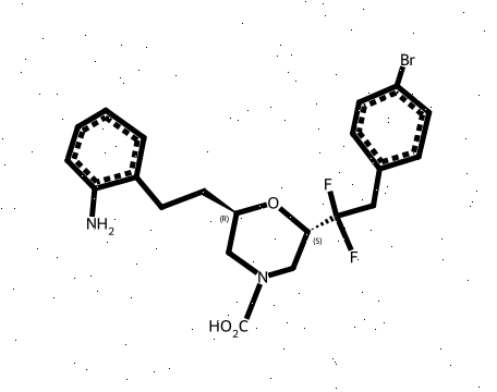 Nc1ccccc1CC[C@@H]1CN(C(=O)O)C[C@@H](C(F)(F)Cc2ccc(Br)cc2)O1